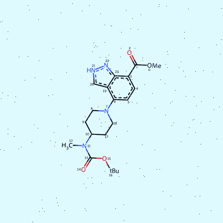 COC(=O)c1ccc(N2CCC(N(C)C(=O)OC(C)(C)C)CC2)c2c[nH]nc12